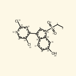 CCS(=O)(=O)n1cc(-c2nc(Cl)ncc2Cl)c2ccc(O)cc21